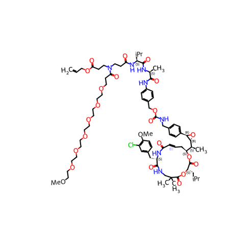 C=CCOC(=O)CCN(CCC(=O)N[C@H](C(=O)N[C@@H](C)C(=O)Nc1ccc(COC(=O)NCc2ccc([C@H]3O[C@@H]3[C@@H](C)[C@@H]3C/C=C/C(=O)N[C@@H](Cc4ccc(OC)c(Cl)c4)C(=O)NCC(C)(C)C(=O)O[C@@H](CC(C)C)C(=O)O3)cc2)cc1)C(C)C)C(=O)CCOCCOCCOCCOCCOCCOCCOC